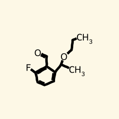 CCCOC(C)c1cccc(F)c1C=O